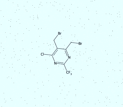 FC(F)(F)c1nc(Cl)c(CBr)c(CBr)n1